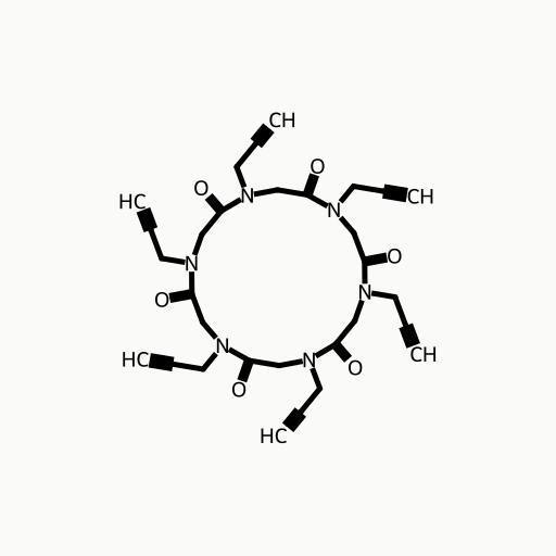 C#CCN1CC(=O)N(CC#C)CC(=O)N(CC#C)CC(=O)N(CC#C)CC(=O)N(CC#C)CC(=O)N(CC#C)CC1=O